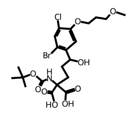 COCCCOc1cc(C(O)CCC(NC(=O)OC(C)(C)C)(C(=O)O)C(=O)O)c(Br)cc1Cl